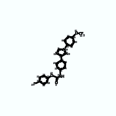 O=C(Nc1ccc(-c2ncn(-c3ccc(OC(F)(F)F)cc3)n2)cc1)Oc1ccc(F)cc1